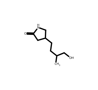 CC(CO)CCC1CNC(=O)C1